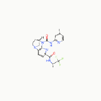 Cc1ccnc(NC(=O)N2c3nc(C(=O)NC(C)C(F)(F)F)ccc3N3CC[C@H]2C3)c1